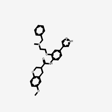 COc1ccc2c(c1)CC(C(=O)Nc1ccc(-c3cn[nH]c3)cc1OCCN(C)Cc1ccccc1)CO2